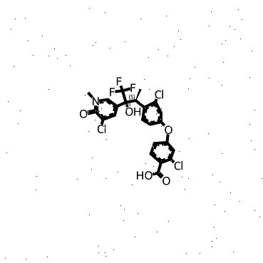 C[C@@H](c1ccc(Oc2ccc(C(=O)O)c(Cl)c2)cc1Cl)[C@](O)(c1cc(Cl)c(=O)n(C)c1)C(F)(F)F